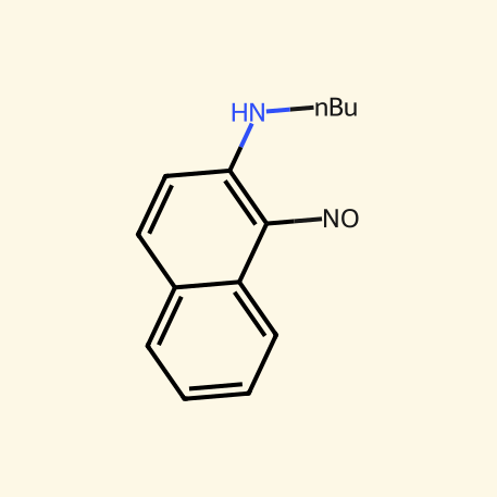 CCCCNc1ccc2ccccc2c1N=O